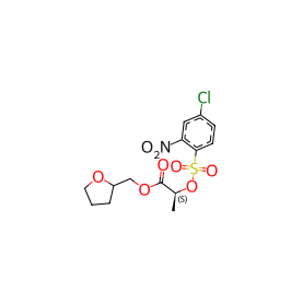 C[C@H](OS(=O)(=O)c1ccc(Cl)cc1[N+](=O)[O-])C(=O)OCC1CCCO1